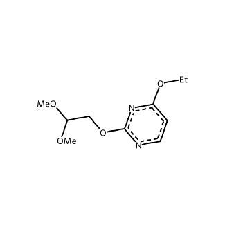 CCOc1ccnc(OCC(OC)OC)n1